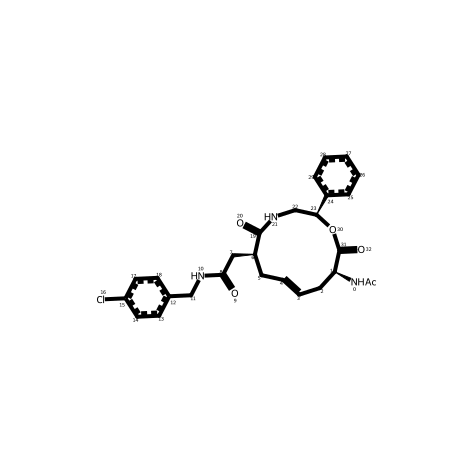 CC(=O)N[C@H]1C/C=C/C[C@@H](CC(=O)NCc2ccc(Cl)cc2)C(=O)NC[C@@H](c2ccccc2)OC1=O